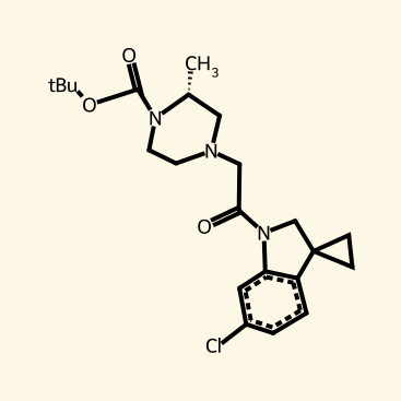 C[C@@H]1CN(CC(=O)N2CC3(CC3)c3ccc(Cl)cc32)CCN1C(=O)OC(C)(C)C